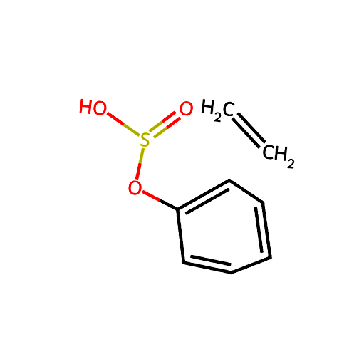 C=C.O=S(O)Oc1ccccc1